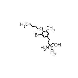 CCCCCOc1c(C)cc(CCC(C)(N)CO)cc1Br